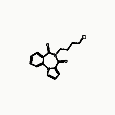 O=c1c2ccccc2n2cccc2c(=O)n1CCCCCl